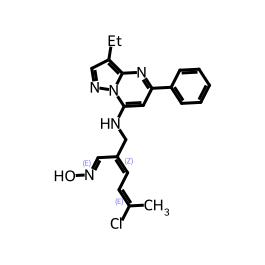 CCc1cnn2c(NCC(=C/C=C(\C)Cl)/C=N/O)cc(-c3ccccc3)nc12